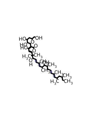 CCC(C)CC(C)/C=C(C)/C=C/CC(C)C(O)C(C)/C=C(C)/C=C/C(O)C(C)(C)c1cc(O)c(C2OC(CO)CC(O)C2O)c(=O)o1